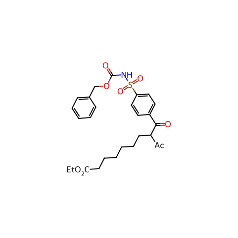 CCOC(=O)CCCCCCC(C(C)=O)C(=O)c1ccc(S(=O)(=O)NC(=O)OCc2ccccc2)cc1